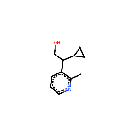 Cc1ncccc1C(CO)C1CC1